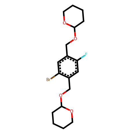 Fc1cc(COC2CCCCO2)c(Br)cc1COC1CCCCO1